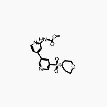 COC(=O)Nc1cc(-c2cncc(S(=O)(=O)N3CCOCC3)c2)ccn1